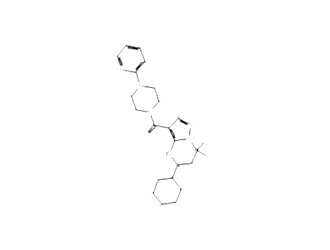 CC1(C)CC(C2CCCCC2)Nc2c(C(=O)N3CCN(c4ccccn4)CC3)cnn21